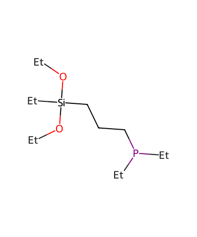 CCO[Si](CC)(CCCP(CC)CC)OCC